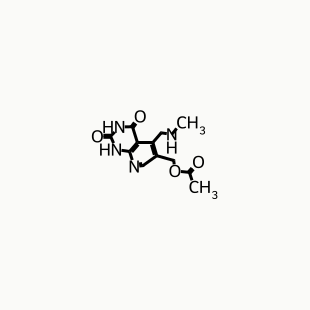 CNCc1c(COC(C)=O)cnc2[nH]c(=O)[nH]c(=O)c12